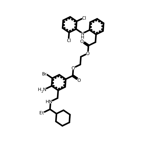 CCC(NCc1cc(C(=O)OCCOC(=O)Cc2ccccc2Nc2c(Cl)cccc2Cl)cc(Br)c1N)C1CCCCC1